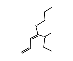 C=C/C=C(/SCCC)N(C)CC